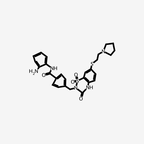 Nc1ccccc1NC(=O)c1ccc(CN2C(=O)Nc3ccc(SCCN4CCCC4)cc3S2(=O)=O)cc1